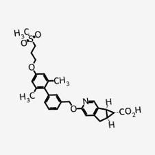 Cc1cc(OCCCS(C)(=O)=O)cc(C)c1-c1cccc(COc2cc3c(cn2)[C@@H]2[C@H](C3)[C@H]2C(=O)O)c1